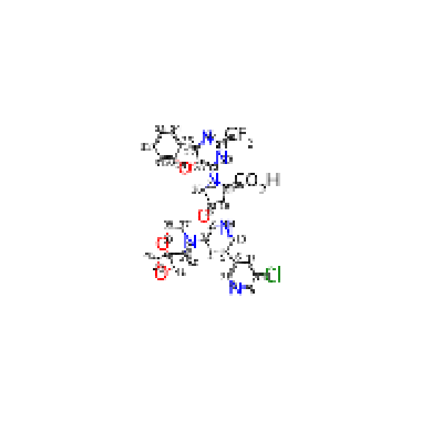 C[C@@H]1N(c2cc(-c3cncc(Cl)c3)cnc2O[C@H]2C[C@@H](C(=O)O)N(c3nc(C(F)(F)F)nc4c3oc3ccccc34)C2)CCOC12COC2